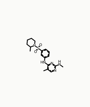 CNc1ncc(C)c(Nc2cccc(S(=O)(=O)N3CCCCC3C)c2)n1